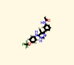 CC(=O)Nc1cccc(C2=C(C)C(Nc3ccc(OC(F)(F)F)cc3)NC=N2)c1